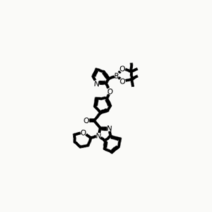 CC1(C)OB(c2cccnc2Oc2ccc(C(=O)c3nc4ccccc4n3C3CCCCO3)cc2)OC1(C)C